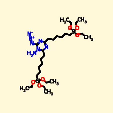 CCO[Si](CCCCCCC1=NC(CCCCCC[Si](OCC)(OCC)OCC)N(N)C(N=[N+]=[N-])=N1)(OCC)OCC